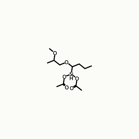 CCCC(OCC(C)OC)[SiH](OC(C)=O)OC(C)=O